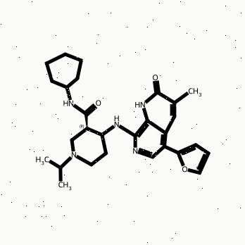 Cc1cc2c(-c3ccco3)cnc(NC3CCN(C(C)C)C[C@H]3C(=O)NC3CCCCC3)c2[nH]c1=O